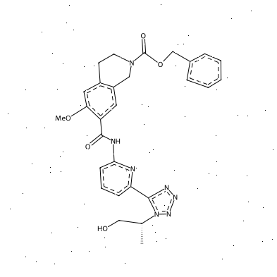 COc1cc2c(cc1C(=O)Nc1cccc(-c3nnnn3[C@H](C)CO)n1)CN(C(=O)OCc1ccccc1)CC2